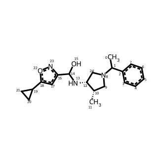 CC(c1ccccc1)N1C[C@H](C)[C@H](NC(O)c2cc(C3CC3)on2)C1